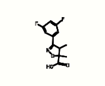 CC1C(c2cc(F)cc(F)c2)=NOC1(C)C(=O)O